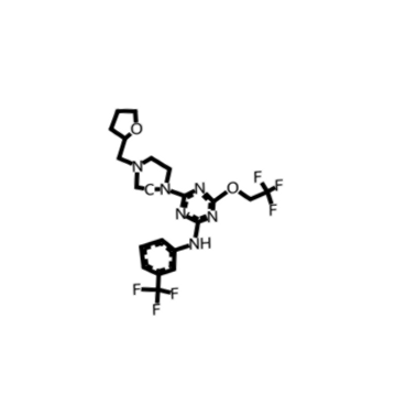 FC(F)(F)COc1nc(Nc2cccc(C(F)(F)F)c2)nc(N2CCN(CC3CCCO3)CC2)n1